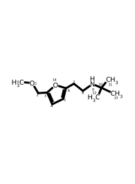 COCc1ccc(CCNC(C)(C)C)o1